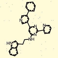 c1ccc(-c2cncc(-c3cc(NCCc4c[nH]c5ccccc45)nc(-c4ccccn4)n3)c2)cc1